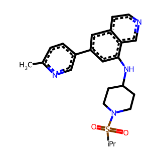 Cc1ccc(-c2cc(NC3CCN(S(=O)(=O)C(C)C)CC3)c3cnccc3c2)cn1